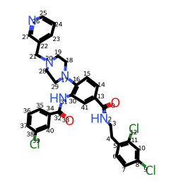 O=C(NCCc1ccc(Cl)cc1Cl)c1ccc(N2CCN(Cc3cccnc3)CC2)c(NC(=O)c2cccc(Cl)c2)c1